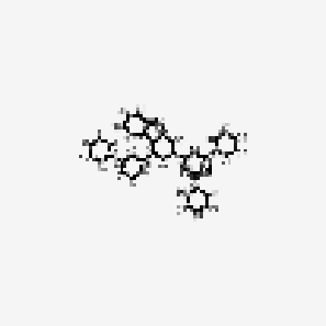 c1ccc(-c2cccc(-c3cc(-c4nc(-c5ccccc5)nc(-c5ccccc5)n4)cc4sc5ccccc5c34)c2)cc1